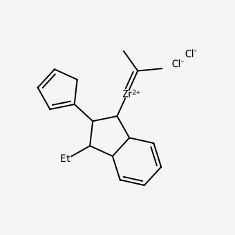 CCC1C2C=CC=CC2[CH]([Zr+2]=[C](C)C)C1C1=CC=CC1.[Cl-].[Cl-]